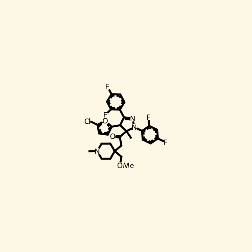 COCC1(CC(=O)C2(C)C(c3ccc(Cl)o3)C(c3ccc(F)cc3F)=NN2c2ccc(F)cc2F)CCN(C)CC1